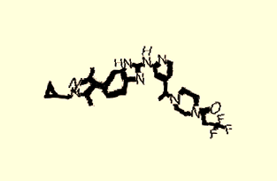 Cc1nn(CC2CC2)c(C)c1-c1ccc2nc(Nc3cc(C(C)N4CCN(C(=O)CC(F)(F)F)CC4)ccn3)[nH]c2c1